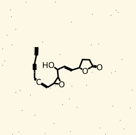 C#CC#CC=C=CC1OC1C(O)/C=C/C1CCC(=O)O1